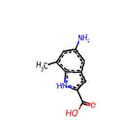 Cc1cc(N)cc2cc(C(=O)O)[nH]c12